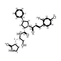 O=C1NCC[C@H]1C[C@@H](CO)NC(=O)[C@@H]1C[C@@H](c2ccccc2)CN1C(=O)/C=C/c1ccc(Cl)cc1F